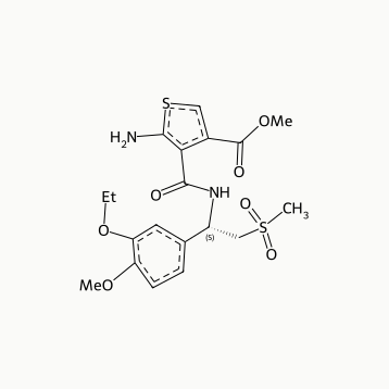 CCOc1cc([C@@H](CS(C)(=O)=O)NC(=O)c2c(C(=O)OC)csc2N)ccc1OC